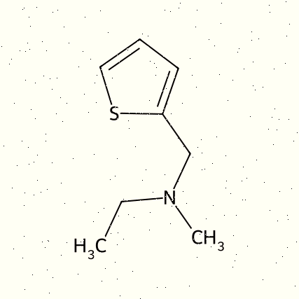 CCN(C)Cc1cccs1